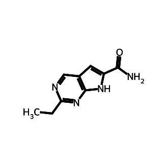 CCc1ncc2cc(C(N)=O)[nH]c2n1